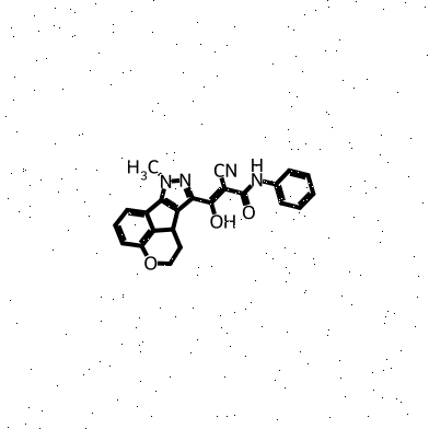 Cn1nc(/C(O)=C(\C#N)C(=O)Nc2ccccc2)c2c1-c1cccc3c1C2CCO3